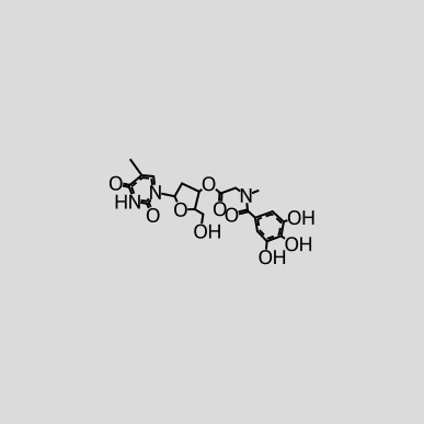 Cc1cn(C2CC(OC(=O)CN(C)C(=O)c3cc(O)c(O)c(O)c3)C(CO)O2)c(=O)[nH]c1=O